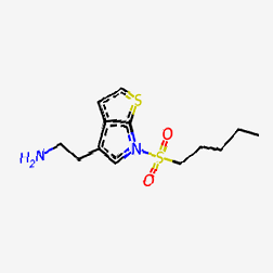 CCCCCS(=O)(=O)n1cc(CCN)c2ccsc21